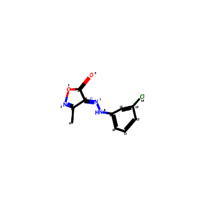 CC1=NOC(=O)/C1=N/Nc1cccc(Cl)c1